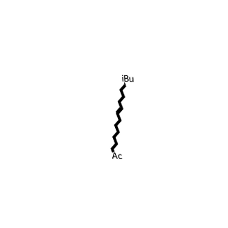 CC[C@@H](C)CCCC/C=C/CCCCCCC(C)=O